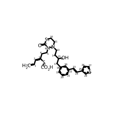 C=C/C=C(/CCN1C(=O)SCCN1CCC(O)Cc1cccc(/C=C/c2ccsc2)c1)SC(=O)O